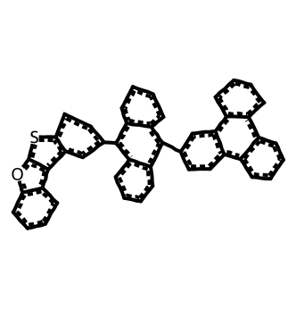 c1ccc2c(c1)oc1sc3ccc(-c4c5ccccc5c(-c5ccc6c7ccccc7c7ccccc7c6c5)c5ccccc45)cc3c12